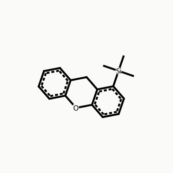 C[Si](C)(C)c1cccc2c1Cc1ccccc1O2